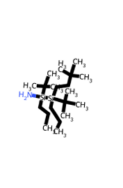 CCC[Si](N)(C(C)(C)C)[Si](CCC)(CCC(C)(C)C)C(C)(C)C